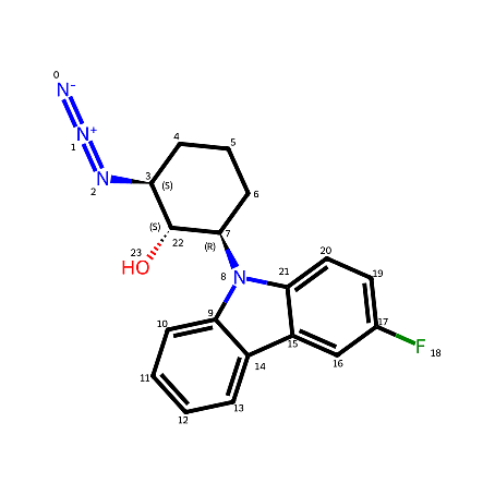 [N-]=[N+]=N[C@H]1CCC[C@@H](n2c3ccccc3c3cc(F)ccc32)[C@@H]1O